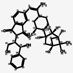 C[C@H]1[C@@H](N2CCN(C(N)=Nc3ccc4c(c3)C(=O)N([C@H](CO)[C@@H](O)c3ccccc3)C4=O)C[C@@H]2C)C[C@@H]2C[C@@H]1C2(C)C